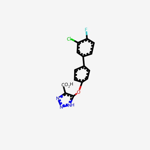 O=C(O)c1nn[nH]c1Oc1ccc(-c2ccc(F)c(Cl)c2)cc1